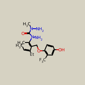 C/C=C(CC)\C(COc1ccc(O)cc1C(F)(F)F)=C(/C)N(N)C(=O)N(C)N